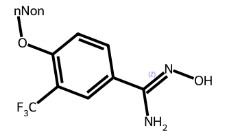 CCCCCCCCCOc1ccc(/C(N)=N/O)cc1C(F)(F)F